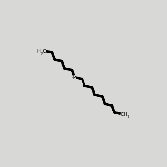 CCCCCCCCC[P]CCCCCC